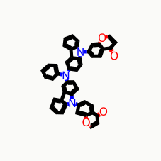 O=c1ccoc2cc(-n3c4ccccc4c4cc(N(c5ccccc5)c5ccc6c(c5)c5ccccc5n6-c5ccc6c(=O)ccoc6c5)ccc43)ccc12